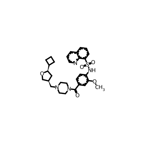 COc1cc(C(=O)N2CCN(C[C@H]3CO[C@@H](C4CCC4)C3)CC2)ccc1NS(=O)(=O)c1cccc2cccnc12